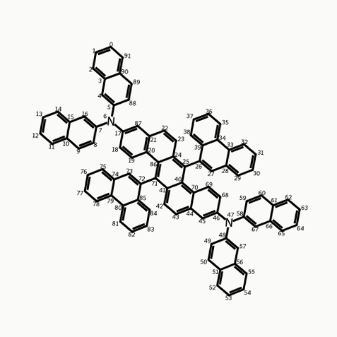 c1ccc2cc(N(c3ccc4ccccc4c3)c3ccc4c(ccc5c(-c6cc7ccccc7c7ccccc67)c6c(ccc7cc(N(c8ccc9ccccc9c8)c8ccc9ccccc9c8)ccc76)c(-c6cc7ccccc7c7ccccc67)c54)c3)ccc2c1